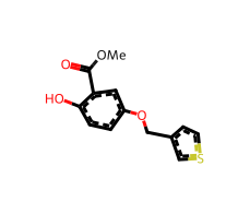 COC(=O)c1cc(OCc2ccsc2)ccc1O